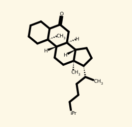 CC(C)CCCC(C)[C@H]1CC[C@H]2[C@@H]3CC(=O)C4CCCC[C@]4(C)[C@H]3CC[C@]12C